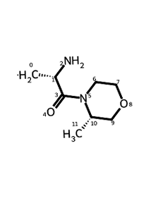 [CH2][C@H](N)C(=O)N1CCOC[C@@H]1C